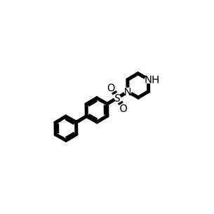 O=S(=O)(c1ccc(-c2ccccc2)cc1)N1CCNCC1